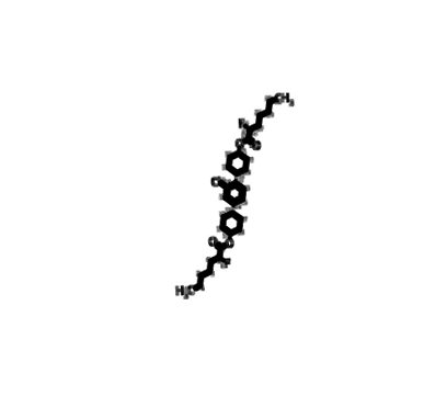 CCCCC[C@H](F)C(=O)O[C@H]1CC[C@H](c2ccc([C@H]3CC[C@H](OC(=O)[C@@H](F)CCCCC)CC3)c(Cl)c2)CC1